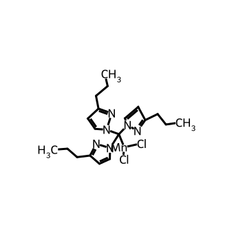 CCCc1ccn([C](n2ccc(CCC)n2)(n2ccc(CCC)n2)[Mn]([Cl])[Cl])n1